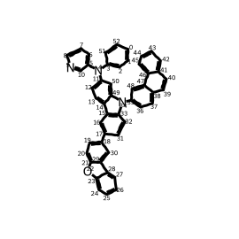 c1ccc(N(c2cccnc2)c2ccc3c4cc(-c5ccc6oc7ccccc7c6c5)ccc4n(-c4ccc5ccc6ccccc6c5c4)c3c2)cc1